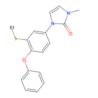 CCSc1cc(-n2ccn(C)c2=O)ccc1Oc1ccccc1